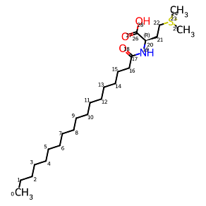 CCCCCCCCCCCCCCCCCC(=O)N[C@H](CC[S+](C)C)C(=O)O